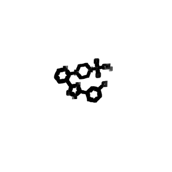 CS(=O)(=O)N1CCN(c2ncccc2-c2nc(-c3cccc(Cl)c3)no2)CC1